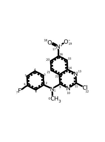 CN(c1cccc(F)c1)c1nc(Cl)nc2cc([N+](=O)[O-])ccc12